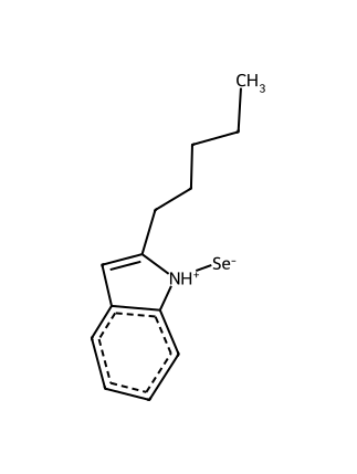 CCCCCC1=Cc2ccccc2[NH+]1[Se-]